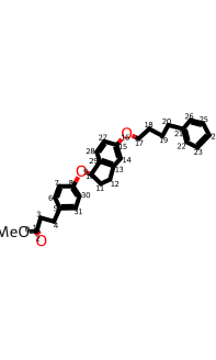 COC(=O)CCc1ccc(OC2CCc3cc(OCCCCc4ccccc4)ccc32)cc1